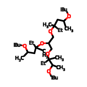 CCC(C)OC(C)CC(C)(CC)OCC(COC(C)(CC)C(C)OC(C)CC)OC(C)(CC)CC(C)OC(C)CC